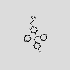 CCOc1ccc(N(c2cccnc2)C(c2ccc(Cl)cc2)c2cccnc2)cn1